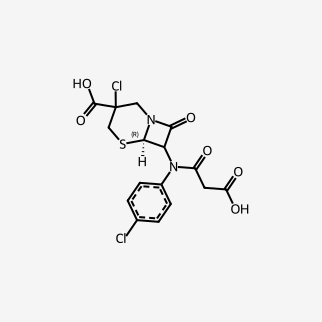 O=C(O)CC(=O)N(c1ccc(Cl)cc1)C1C(=O)N2CC(Cl)(C(=O)O)CS[C@H]12